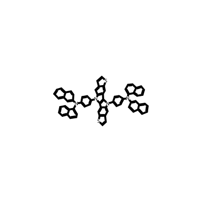 c1ccc2cc(N(c3ccc(-n4c5cc6ccsc6cc5c5c4c4cc6sccc6cc4n5-c4ccc(N(c5ccc6ccccc6c5)c5cccc6ccccc56)cc4)cc3)c3cccc4ccccc34)ccc2c1